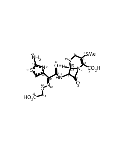 CSC1=C(C(=O)O)N2C(=O)C(NC(=O)C(=NOCC(=O)O)c3csc(N)n3)[C@@H]2SC1